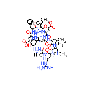 CC[C@H](C)[C@H](NC(=O)[C@H](Cc1ccccc1)NC(=O)[C@@H](N)CCC(=O)O)C(=O)N[C@@H](CCC(=O)O)C(=O)N[C@@H](Cc1c[nH]c2ccccc12)C(=O)N[C@@H](CC(C)C)C(=O)N[C@@H](CC(C)C)C(=O)N[C@@H](CCCNC(=N)N)C(=O)N[C@@H](C)C(N)=O